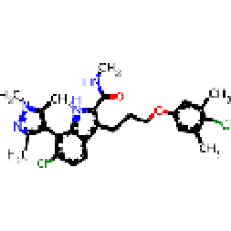 CNC(=O)c1[nH]c2c(-c3c(C)nn(C)c3C)c(Cl)ccc2c1CCCOc1cc(C)c(Cl)c(C)c1